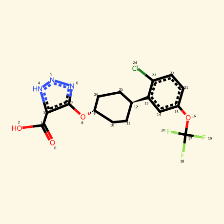 O=C(O)c1[nH]nnc1O[C@H]1CC[C@H](c2cc(OC(F)(F)F)ccc2Cl)CC1